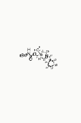 CC(C)(C)NC(=O)OCC1(C2CC2)CCN(Cc2ccccc2)CC1